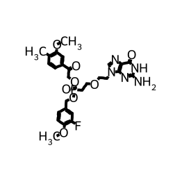 COc1cc(C(=O)COP(=O)(CCOCCn2cnc3c(=O)[nH]c(N)nc32)OCc2ccc(OC)c(F)c2)ccc1C